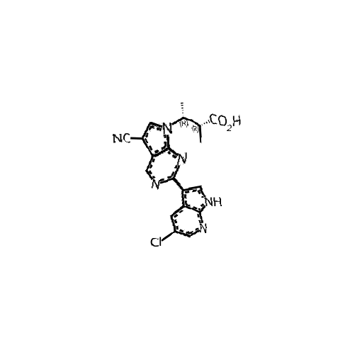 C[C@H]([C@@H](C)C(=O)O)n1cc(C#N)c2cnc(-c3c[nH]c4ncc(Cl)cc34)nc21